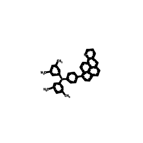 Cc1cc(C)cc(N(c2ccc(-c3ccc4ccc5cc6cccnc6c6ccc3c4c56)cc2)c2cc(C)cc(C)c2)c1